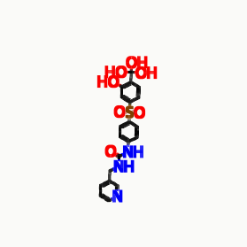 O=C(NCc1cccnc1)Nc1ccc(S(=O)(=O)c2ccc(C(O)(O)O)c(O)c2)cc1